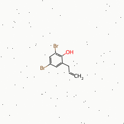 C=CCc1cc(Br)cc(Br)c1O